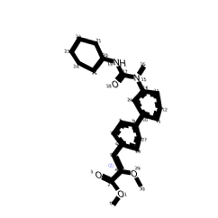 COC(=O)/C(=C/c1ccc(-c2cccc(N(C)C(=O)NC3CCCCC3)c2)cc1)OC